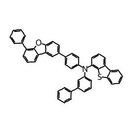 c1ccc(-c2cccc(N(c3ccc(-c4ccc5oc6c(-c7ccccc7)cccc6c5c4)cc3)c3cccc4c3sc3ccccc34)c2)cc1